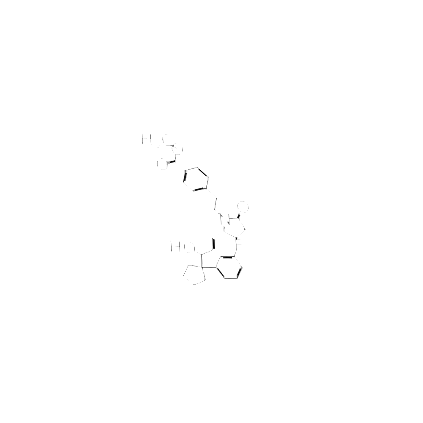 COC(=O)c1ccc(CCN2C(=O)CC[C@@H]2/C=C/C(O)C2(c3cccc(F)c3)CCCC2)cc1